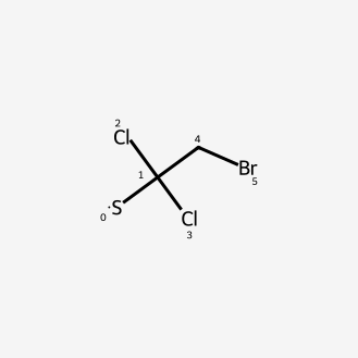 [S]C(Cl)(Cl)CBr